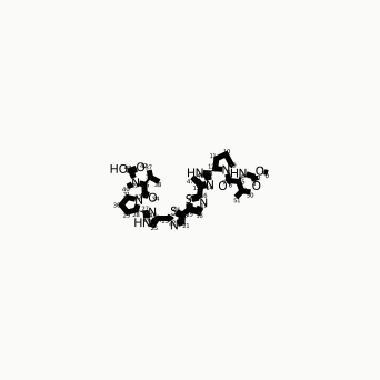 COC(=O)N[C@H](C(=O)N1CCC[C@H]1c1nc(-c2ncc(-c3cnc(-c4c[nH]c([C@@H]5CCCN5C(=O)[C@H](C(C)C)N(C)C(=O)O)n4)s3)s2)c[nH]1)C(C)C